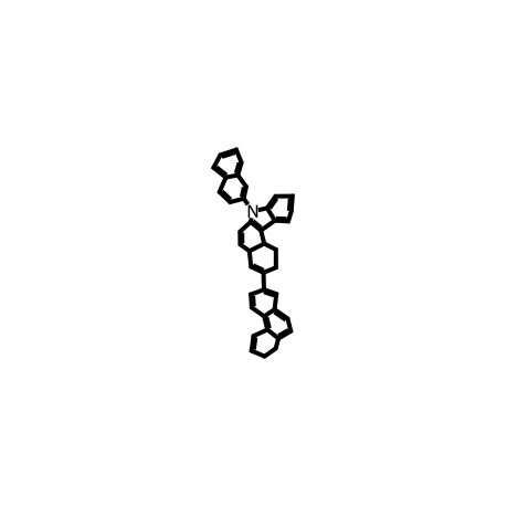 C1=Cc2c(ccc3cc(C4=CC5C=Cc6c(c7ccccc7n6-c6ccc7ccccc7c6)C5CC4)ccc23)CC1